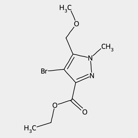 CCOC(=O)c1nn(C)c(COC)c1Br